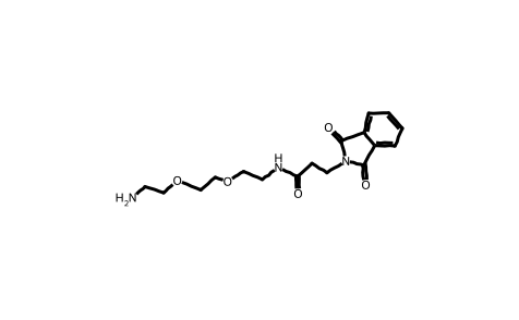 NCCOCCOCCNC(=O)CCN1C(=O)c2ccccc2C1=O